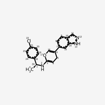 C[C@H](NC1=CCC(c2ccc3cn[nH]c3c2)=CO1)c1ccc(Cl)cc1